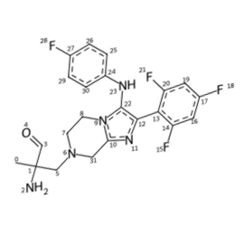 CC(N)(C=O)CN1CCn2c(nc(-c3c(F)cc(F)cc3F)c2Nc2ccc(F)cc2)C1